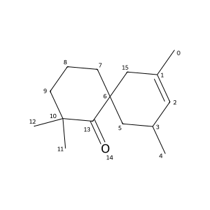 CC1=CC(C)CC2(CCCC(C)(C)C2=O)C1